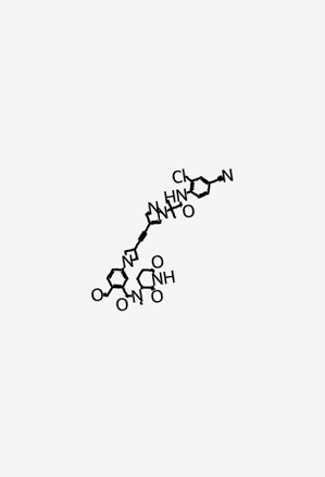 CN(C(=O)c1cc(N2CC(C#Cc3cnn(C(C)(C)C(=O)Nc4ccc(C#N)cc4Cl)c3)C2)ccc1C=O)C1CCC(=O)NC1=O